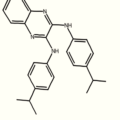 CC(C)c1ccc(Nc2nc3ccccc3nc2Nc2ccc(C(C)C)cc2)cc1